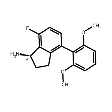 COc1cccc(OC)c1-c1ccc(F)c2c1CC[C@H]2N